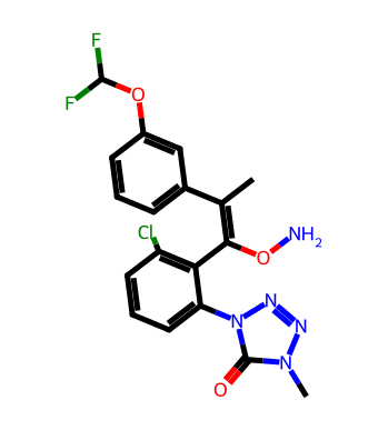 C/C(=C(\ON)c1c(Cl)cccc1-n1nnn(C)c1=O)c1cccc(OC(F)F)c1